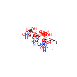 CC[n+]1cn([C@@H]2O[C@H](COP(=O)(O)OP(=O)(O)OP(=O)(O)OC[C@H]3O[C@@H](n4cnc5c(N)ncnc54)[C@H](OC)[C@@H]3OP(=O)(O)OC[C@H]3O[C@@H](n4ccc(=O)[nH]c4=O)[C@H](O)[C@@H]3O)[C@@H](CCOC)[C@H]2O)c2nc(N)[nH]c(=O)c21